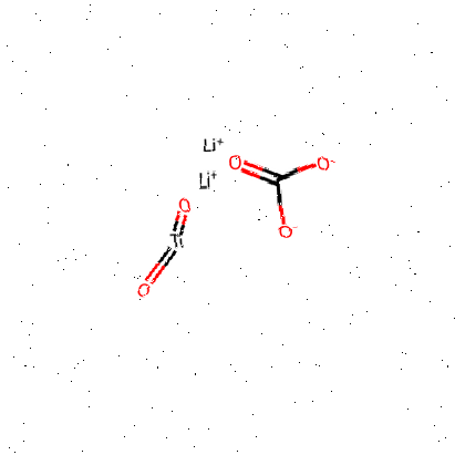 O=C([O-])[O-].[Li+].[Li+].[O]=[Ti]=[O]